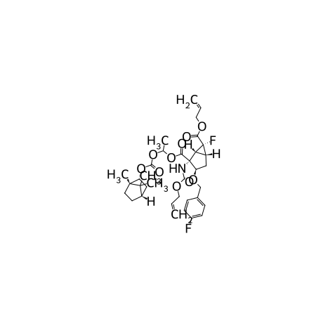 C=CCOC(=O)N[C@@]1(C(=O)OC(C)OC(=O)O[C@@H]2C[C@@H]3CC[C@@]2(C)C3(C)C)[C@H](OCc2ccc(F)cc2)C[C@@H]2[C@H]1[C@@]2(F)C(=O)OCC=C